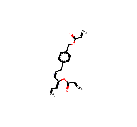 C=C/C=C(\C=C/Cc1ccc(COC(=O)C=C)cc1)OC(=O)C=C